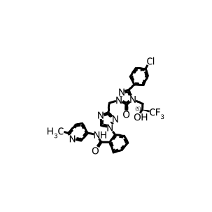 Cc1ccc(NC(=O)c2ccccc2-n2cnc(Cn3nc(-c4ccc(Cl)cc4)n(C[C@H](O)C(F)(F)F)c3=O)n2)cn1